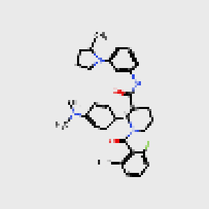 Cc1cccc(F)c1C(=O)N1CCCC(C(=O)Nc2cccc(N3CCCC3C)c2)[C@@H]1C1C=CC(N(C)C)=CC1